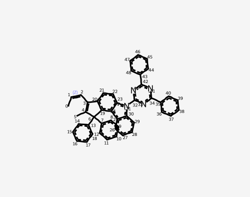 C/C=C\C1=C(C)C(c2ccccc2)(c2ccccc2)c2c1ccc1c2c2ccccc2n1-c1nc(-c2ccccc2)nc(-c2ccccc2)n1